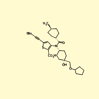 CC(C)(C)C#Cc1cc(N(C(=O)[C@H]2CC[C@H](C)CC2)[C@H]2CC[C@](O)(COC3CCCC3)CC2)c(C(=O)O)s1